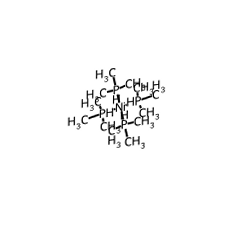 C[PH](C)(C)[Ni]([PH](C)(C)C)([PH](C)(C)C)[PH](C)(C)C